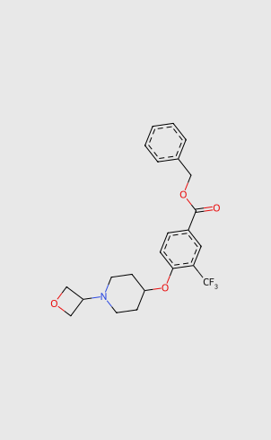 O=C(OCc1ccccc1)c1ccc(OC2CCN(C3COC3)CC2)c(C(F)(F)F)c1